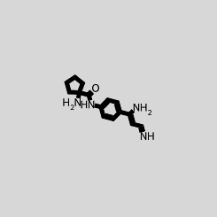 N=C/C=C(\N)c1ccc(NC(=O)C2(N)CCCC2)cc1